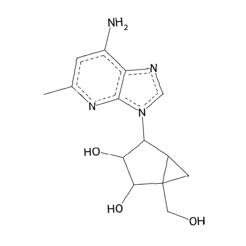 Cc1cc(N)c2ncn(C3C(O)C(O)C4(CO)CC34)c2n1